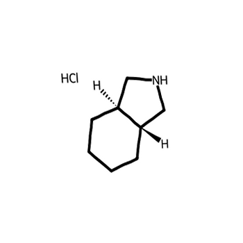 C1CC[C@H]2CNC[C@@H]2C1.Cl